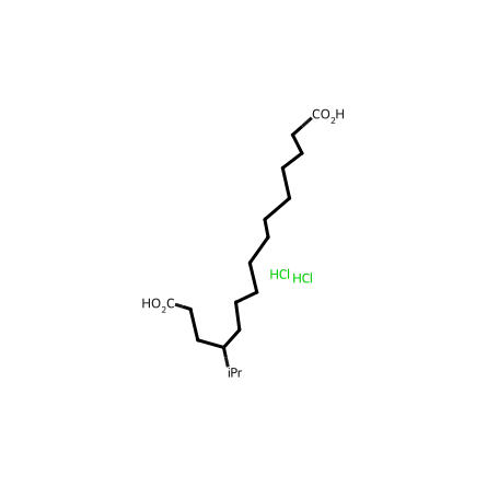 CC(C)C(CCCCCCCCCCC(=O)O)CCC(=O)O.Cl.Cl